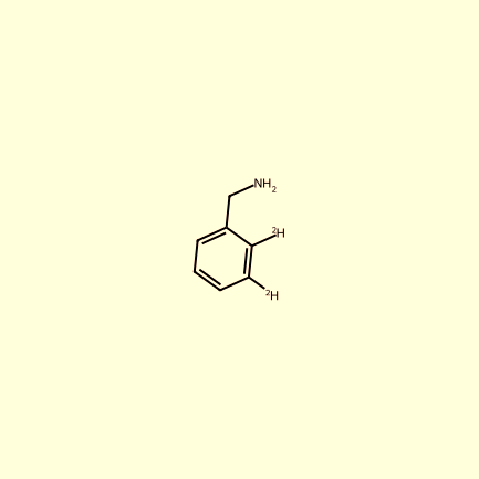 [2H]c1cccc(CN)c1[2H]